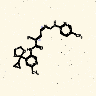 Cc1cc(C2(C3CC3)OCCO2)c(NC(=O)/C(=C/C=N\CNc2ccc(C(F)(F)F)cn2)C(C)C)cn1